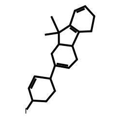 CC1(C)C2=C(CCC=C2)C2CC=C(C3C=CC(I)CC3)CC21